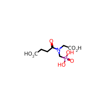 O=C(O)CCC(=O)N(CC(=O)O)CP(=O)(O)O